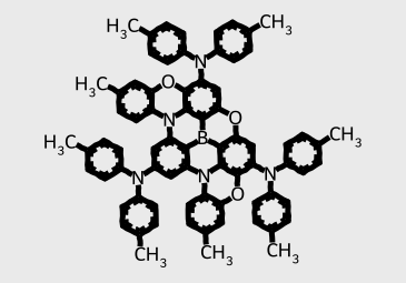 Cc1ccc(N(c2ccc(C)cc2)c2cc3c4c(c2)N2c5ccc(C)cc5Oc5c(N(c6ccc(C)cc6)c6ccc(C)cc6)cc6c(c52)B4c2c(cc(N(c4ccc(C)cc4)c4ccc(C)cc4)c4c2N3c2ccc(C)cc2O4)O6)cc1